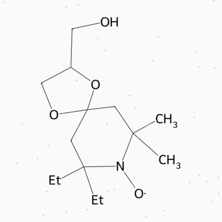 CCC1(CC)CC2(CC(C)(C)N1[O])OCC(CO)O2